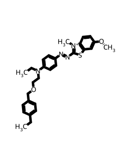 CCc1ccc(COCCN(CC)c2ccc(/N=N/c3sc4cc(OC)ccc4[n+]3C)cc2)cc1